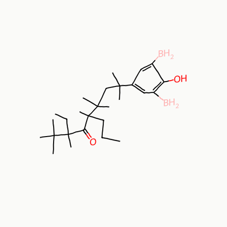 Bc1cc(C(C)(C)CC(C)(C)C(C)(CCC)C(=O)C(C)(CC)C(C)(C)C)cc(B)c1O